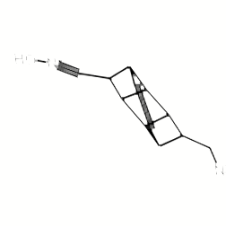 NCC1C2C=CC3C(C#[N+]O)C4C3C1C24